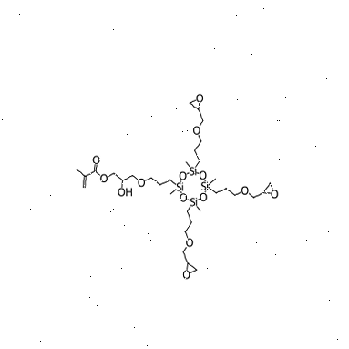 C=C(C)C(=O)OCC(O)COCCC[Si]1(C)O[Si](C)(CCCOCC2CO2)O[Si](C)(CCCOCC2CO2)O[Si](C)(CCCOCC2CO2)O1